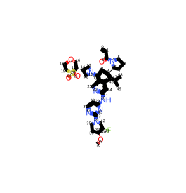 C=CC(=O)N1CCC[C@@H]1c1cc(N2CC([C@H]3COCCS3(=O)=O)C2)c2cnc(Nc3ccnc(N4CC[C@@H](OC)[C@@H](F)C4)n3)cc2c1C(C)C